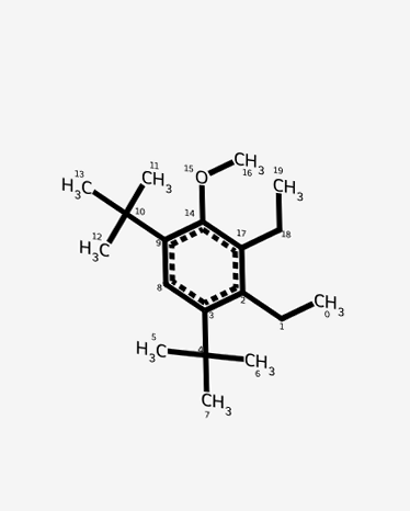 CCc1c(C(C)(C)C)cc(C(C)(C)C)c(OC)c1CC